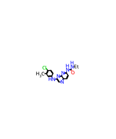 CCNC(=O)Nc1ccc2ncc(Nc3ccc(Cl)c(C)c3)nc2n1